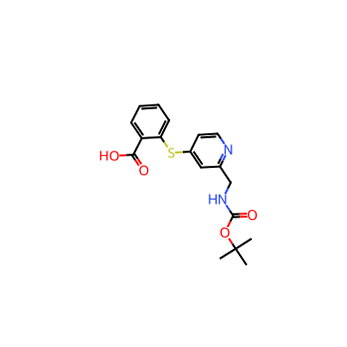 CC(C)(C)OC(=O)NCc1cc(Sc2ccccc2C(=O)O)ccn1